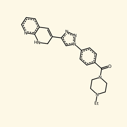 CCN1CCN(C(=O)c2ccc(-n3cc(C4=Cc5cccnc5NC4)nn3)cc2)CC1